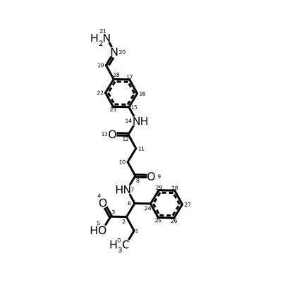 CCC(C(=O)O)C(NC(=O)CCC(=O)Nc1ccc(C=NN)cc1)c1ccccc1